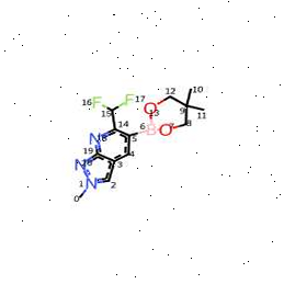 Cn1cc2cc(B3OCC(C)(C)CO3)c(C(F)F)nc2n1